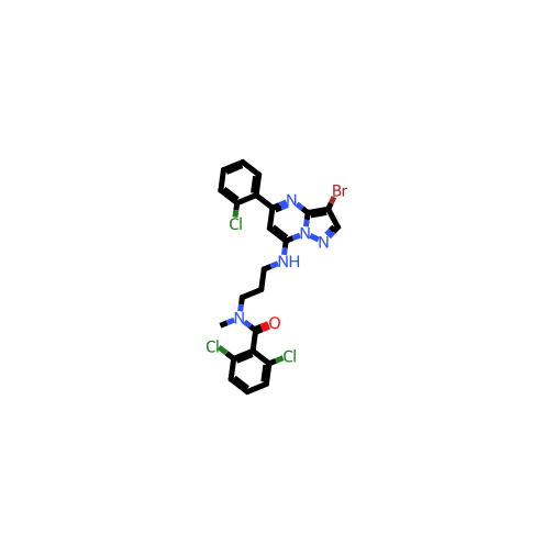 CN(CCCNc1cc(-c2ccccc2Cl)nc2c(Br)cnn12)C(=O)c1c(Cl)cccc1Cl